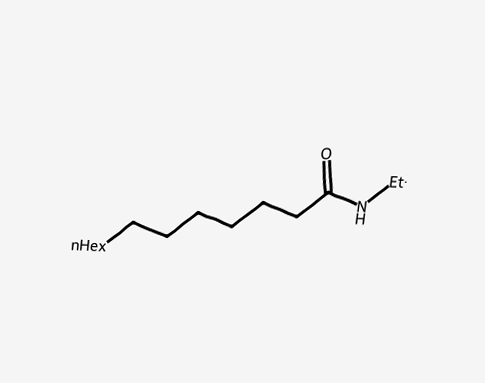 C[CH]NC(=O)CCCCCCCCCCCC